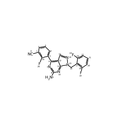 N#Cc1cccc(-c2nc(N)nc3c2cnn3Cc2c(F)cccc2F)c1F